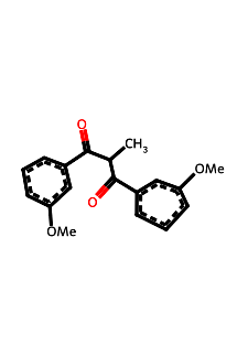 COc1cccc(C(=O)C(C)C(=O)c2cccc(OC)c2)c1